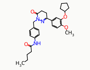 CCCCC(=O)Nc1ccc(CN2N=C(c3ccc(OC)c(OC4CCCC4)c3)CCC2=O)cc1